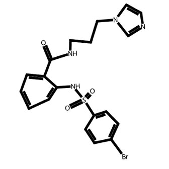 O=C(NCCCn1ccnc1)c1ccccc1NS(=O)(=O)c1ccc(Br)cc1